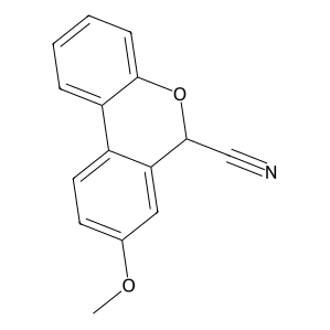 COc1ccc2c(c1)C(C#N)Oc1ccccc1-2